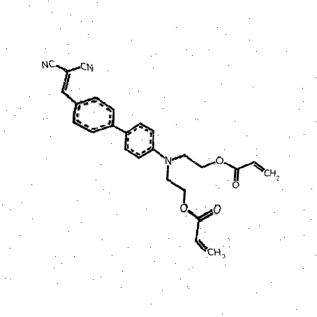 C=CC(=O)OCCN(CCOC(=O)C=C)c1ccc(-c2ccc(C=C(C#N)C#N)cc2)cc1